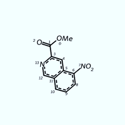 COC(=O)c1cc2c([N+](=O)[O-])cccc2cn1